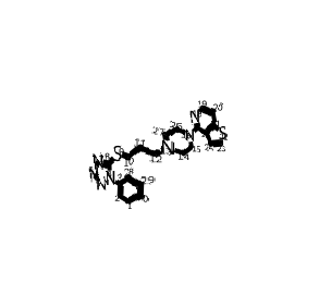 c1ccc(-n2nnnc2SCCCN2CCN(c3nccc4sccc34)CC2)cc1